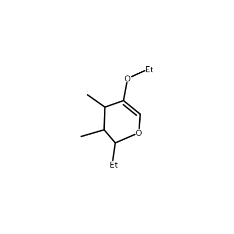 CCOC1=COC(CC)C(C)C1C